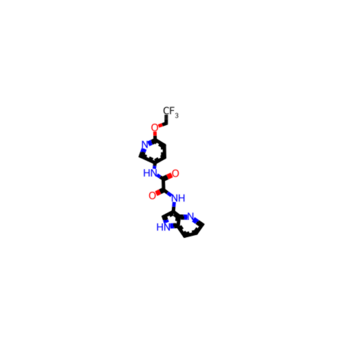 O=C(Nc1ccc(OCC(F)(F)F)nc1)C(=O)Nc1c[nH]c2cccnc12